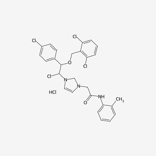 Cc1ccccc1NC(=O)CN1C=CN(C(Cl)C(OCc2c(Cl)cccc2Cl)c2ccc(Cl)cc2)C1.Cl